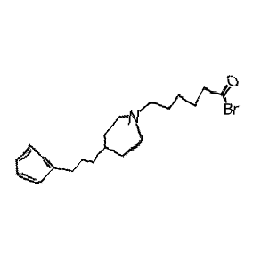 O=C(Br)CCCCCN1CCC(CCCc2ccccc2)CC1